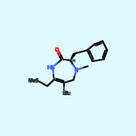 CSCC1=C(C(C)(C)C)CN(C)[C@H](Cc2ccccc2)C(=O)N1